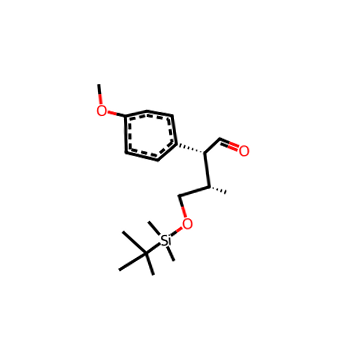 COc1ccc([C@H](C=O)[C@H](C)CO[Si](C)(C)C(C)(C)C)cc1